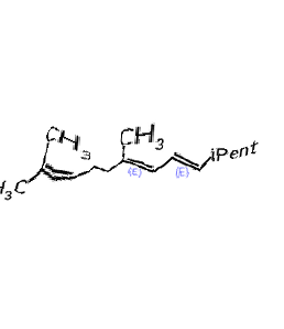 [CH2]CCC(C)/C=C/C=C(\C)CCC=C(C)C